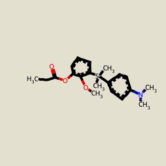 CCC(=O)Oc1cccc([Si](C)(C)c2ccc(N(C)C)cc2)c1OC